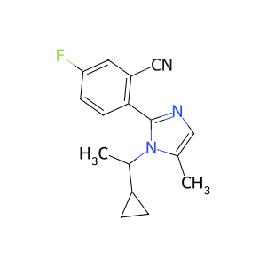 Cc1cnc(-c2ccc(F)cc2C#N)n1C(C)C1CC1